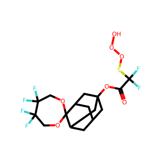 O=C(OC12CC3CC(C1)C1(OCC(F)(F)C(F)(F)CO1)C(C3)C2)C(F)(F)SOOO